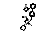 CCCCc1cn(C2CCCC2)c(=O)n1Cc1ccc(-c2ccccc2-c2nnn[nH]2)cc1